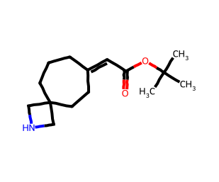 CC(C)(C)OC(=O)/C=C1/CCCC2(CC1)CNC2